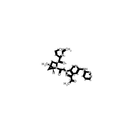 C=C/N=C(\C=C/C)C(=O)[C@@H]1C[C@@]2(C)C[C@H]2N1C(=O)Cn1nc(C(C)=O)c2cc(Nc3cccnn3)ncc21